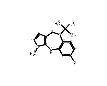 Cn1ncc2c1Nc1cc(Cl)ccc1N(C(C)(C)C)C2